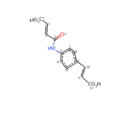 O=C(O)C=CC(=O)Nc1ccc(C=CC(=O)O)cc1